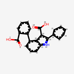 O=C(O)c1ccccc1-c1cccc2[nH]c(-c3ccccc3)c(C(=O)O)c12